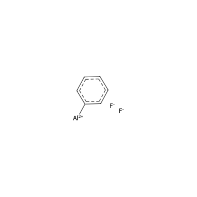 [Al+2][c]1ccccc1.[F-].[F-]